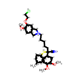 COc1ccc(C(C#N)(CCCCCN2Cc3cc(OC)c(OCCCl)cc3C2)Sc2ccc(C)cc2)cc1OC